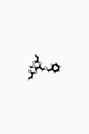 CCC(=O)OC(COCc1ccccc1)C(OC)OC(=O)CC